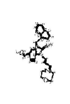 N=c1n(CCCN2CCOCC2)c2ccc(CO)cc2n1Cc1cccc2cccnc12